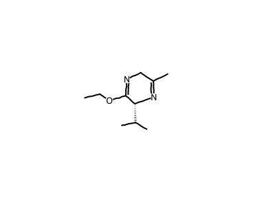 CCOC1=NCC(C)=N[C@@H]1C(C)C